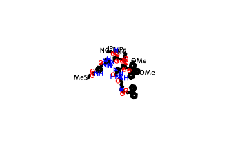 COc1ccc(C(OC[C@H]2O[C@@H](C3C=Nc4c3nc(NC(=O)CCCN(C)C(=O)OCC3c5ccccc5-c5ccccc53)[nH]c4=O)CC2OP(OCCC#N)OC[C@H]2O[C@@H](n3cnc4c(NC(=O)c5ccc(NC(=O)OCCSC)cc5)ncnc43)CC2OP(OCCC#N)N(C(C)C)C(C)C)(c2ccccc2)c2ccc(OC)cc2)cc1